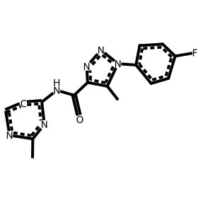 Cc1nccc(NC(=O)c2nnn(-c3ccc(F)cc3)c2C)n1